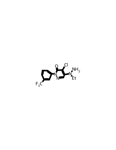 CCN(N)c1cnn(-c2cccc(C(F)(F)F)c2)c(=O)c1Cl